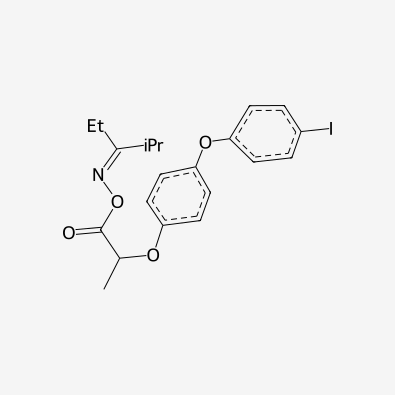 CCC(=NOC(=O)C(C)Oc1ccc(Oc2ccc(I)cc2)cc1)C(C)C